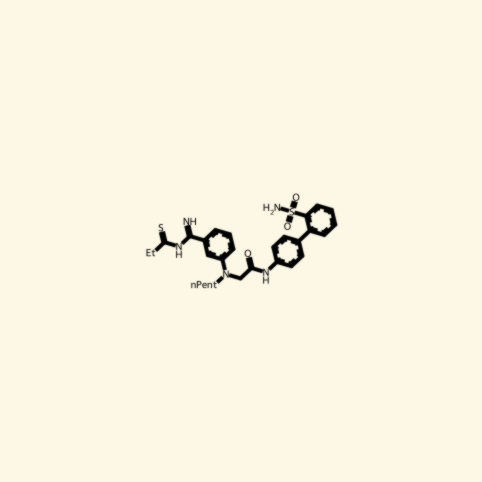 CCCCCN(CC(=O)Nc1ccc(-c2ccccc2S(N)(=O)=O)cc1)c1cccc(C(=N)NC(=S)CC)c1